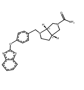 NC(=O)N1C[C@@H]2CCN(Cc3ccc(Oc4nc5ccccc5s4)cc3)[C@@H]2C1